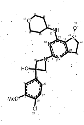 COc1cc(C2(O)CN(c3nc4c(c(NC5CCOCC5)n3)[S@+]([O-])CC4)C2)ccc1Cl